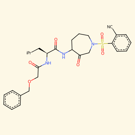 CC(C)C[C@H](NC(=O)COCc1ccccc1)C(=O)NC1CCCN(S(=O)(=O)c2ccccc2C#N)CC1=O